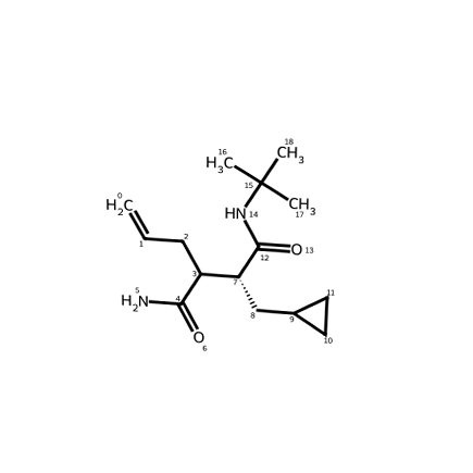 C=CCC(C(N)=O)[C@@H](CC1CC1)C(=O)NC(C)(C)C